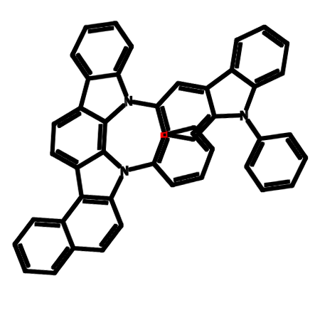 c1ccc(-n2c3ccccc3c3cc(-n4c5ccccc5c5ccc6c7c8ccccc8ccc7n(-c7ccccc7)c6c54)ccc32)cc1